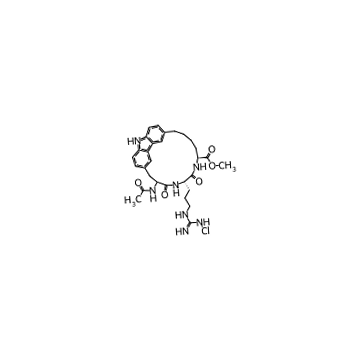 COC(=O)[C@@H]1CCCCc2ccc3[nH]c4ccc(cc4c3c2)CC(NC(C)=O)C(=O)N[C@@H](CCCNC(=N)NCl)C(=O)N1